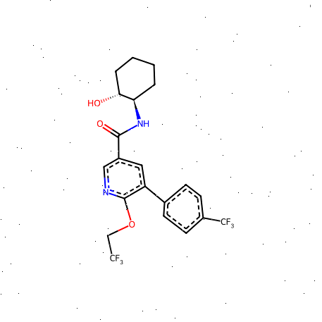 O=C(N[C@@H]1CCCC[C@H]1O)c1cnc(OCC(F)(F)F)c(-c2ccc(C(F)(F)F)cc2)c1